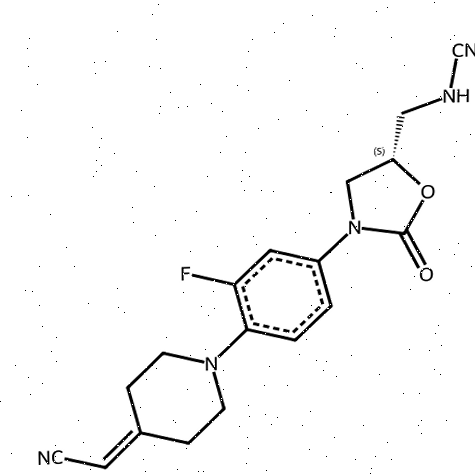 N#CC=C1CCN(c2ccc(N3C[C@H](CNC#N)OC3=O)cc2F)CC1